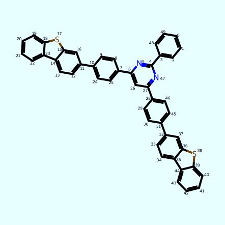 c1ccc(-c2nc(-c3ccc(-c4ccc5c(c4)sc4ccccc45)cc3)cc(-c3ccc(-c4ccc5c(c4)sc4ccccc45)cc3)n2)cc1